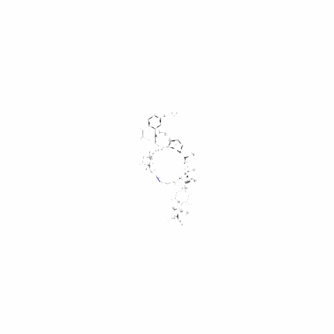 COc1cc2c(cc1Cl)CCC[C@]21COc2ccc3cc2N(C[C@@H]2CC[C@@H]2C/C=C/CC[C@@H](C(=O)N2CCN(S(=O)(=O)N(C)C)CC2)S(=O)(=O)NC3=O)C1